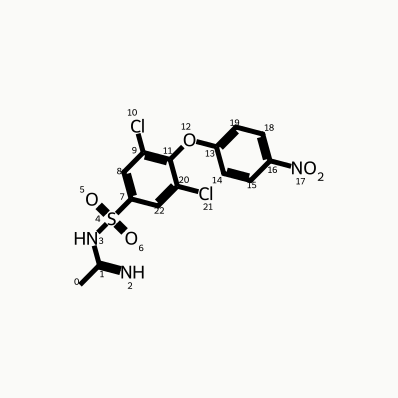 CC(=N)NS(=O)(=O)c1cc(Cl)c(Oc2ccc([N+](=O)[O-])cc2)c(Cl)c1